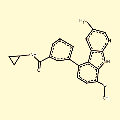 COc1ccc(-c2cccc(C(=O)NC3CC3)c2)c2c1[nH]c1ncc(C)cc12